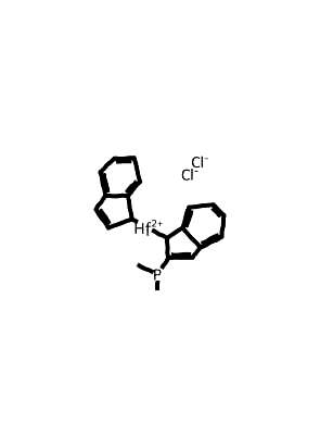 CP(C)C1=Cc2ccccc2[CH]1[Hf+2][CH]1C=Cc2ccccc21.[Cl-].[Cl-]